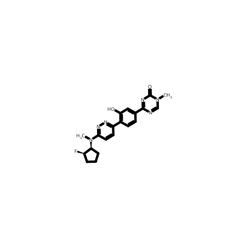 CN(c1ccc(-c2ccc(-c3ncn(C)c(=O)n3)cc2O)nn1)[C@H]1CCC[C@H]1F